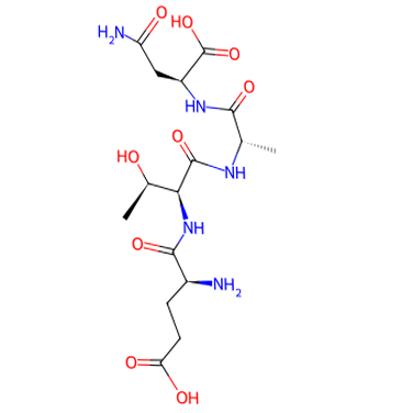 C[C@H](NC(=O)[C@@H](NC(=O)[C@@H](N)CCC(=O)O)[C@@H](C)O)C(=O)N[C@@H](CC(N)=O)C(=O)O